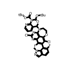 CC(c1cccnc1N(C(=O)OC(C)(C)C)C(=O)OC(C)(C)C)N1CCOc2c(Cl)c(-c3c(F)ccc4cnn(C)c34)c(F)c3nc(Cl)nc1c23